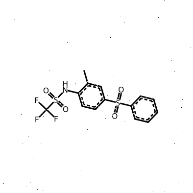 Cc1cc(S(=O)(=O)c2ccccc2)ccc1NS(=O)(=O)C(F)(F)F